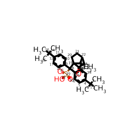 CC(C)(C)c1ccc(C(c2ccc(C(C)(C)C)cc2)(C23CCC(CC2=O)C3(C)C)S(=O)(=O)O)cc1